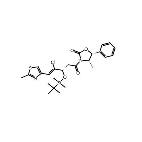 Cc1nc(/C=C(\Cl)[C@H](CC(=O)N2C(=O)O[C@H](c3ccccc3)[C@@H]2C)O[Si](C)(C)C(C)(C)C)cs1